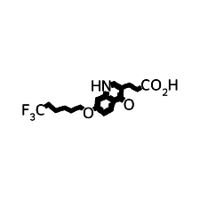 O=C(O)CCc1c[nH]c2cc(OCCCCCC(F)(F)F)ccc2c1=O